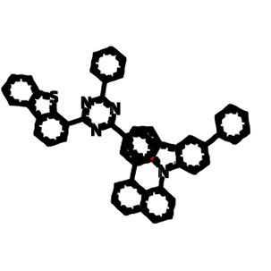 c1ccc(-c2ccc3c(c2)c2ccccc2n3-c2cccc3cccc(-c4cccc(-c5nc(-c6ccccc6)nc(-c6cccc7c6sc6ccccc67)n5)c4)c23)cc1